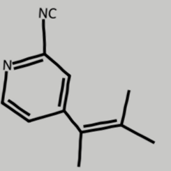 [C-]#[N+]c1cc(C(C)=C(C)C)ccn1